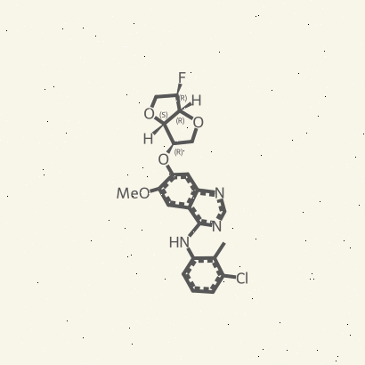 COc1cc2c(Nc3cccc(Cl)c3C)ncnc2cc1O[C@@H]1CO[C@@H]2[C@H]1OC[C@H]2F